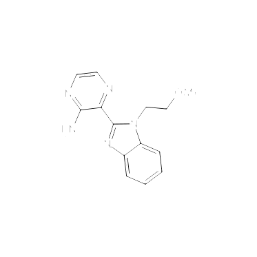 COCCn1c(-c2nccnc2N)nc2ccccc21